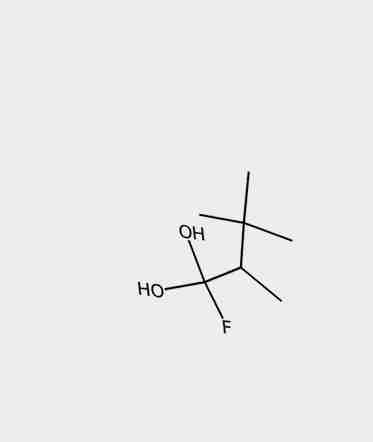 CC(C(C)(C)C)C(O)(O)F